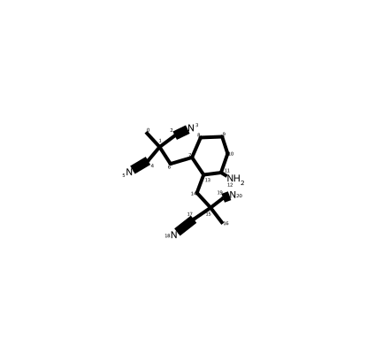 CC(C#N)(C#N)CC1CCCC(N)C1CC(C)(C#N)C#N